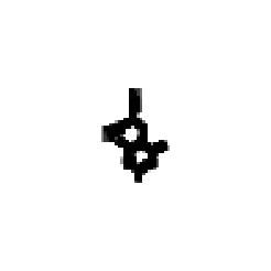 C=C1C=C(C)OC(C)=C1CC(C#N)C#N